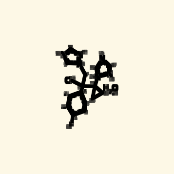 Fc1ccc(C(Cl)(Cn2cncn2)C2(n3cncn3)CC2)cc1.O